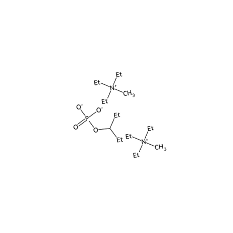 CCC(CC)OP(=O)([O-])[O-].CC[N+](C)(CC)CC.CC[N+](C)(CC)CC